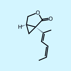 C/C=C\C=C(/C)[C@]12C[C@H]1COC2=O